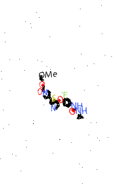 COCCOCC(=O)N1CC=C(c2cc3nccc(Oc4ccc(NC(=O)NC5CC5)cc4F)c3s2)CC1